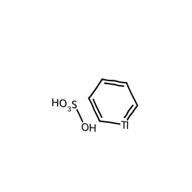 C1=C[CH]=[Tl][CH]=C1.O=S(=O)(O)O